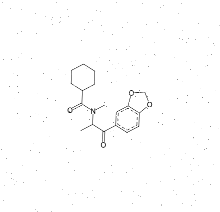 CC(C(=O)c1ccc2c(c1)OCO2)N(C)C(=O)C1CCCCC1